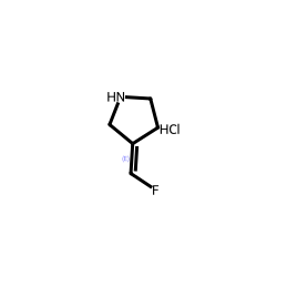 Cl.F/C=C1\CCNC1